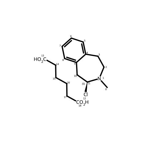 CN1CCc2ccccc2C[C@@H]1Cl.O=C(O)CCCCC(=O)O